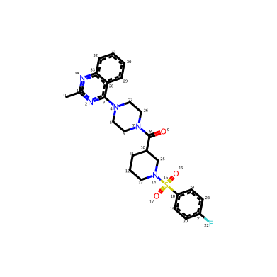 Cc1nc(N2CCN(C(=O)C3CCCN(S(=O)(=O)c4ccc(F)cc4)C3)CC2)c2ccccc2n1